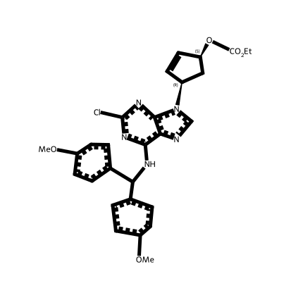 CCOC(=O)O[C@@H]1C=C[C@H](n2cnc3c(NC(c4ccc(OC)cc4)c4ccc(OC)cc4)nc(Cl)nc32)C1